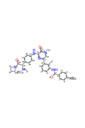 Cc1c(NC(=O)c2ccc(C(C)(C)C)cc2)cccc1-c1cn(C)c(=O)c(Nc2ccc(C(C(=O)N3CCC3)N(C)C(C)C)cc2)n1